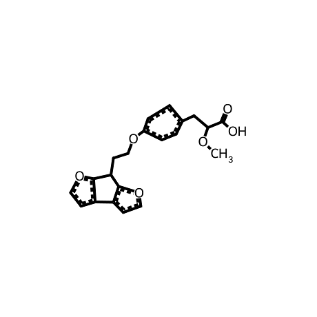 COC(Cc1ccc(OCCC2c3occc3-c3ccoc32)cc1)C(=O)O